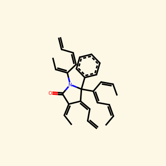 C=C/C=C\C(=C/C)N1C(=O)C(=C/C)/C(=C\C=C)C1(C(/C=C\C)=C/C=C\C)c1ccccc1